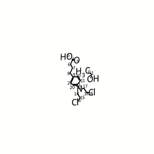 CCO.O=C(O)CCCc1ccc(N(CCCl)CCCl)cc1